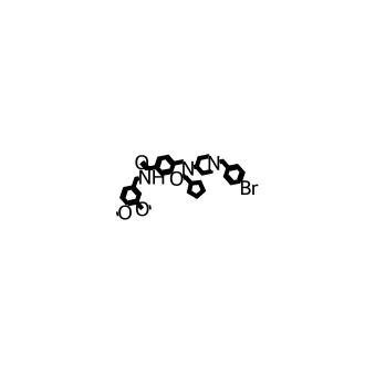 COc1ccc(CNC(=O)c2ccc(CN(C(=O)C3CCCC3)C3CCN(Cc4ccc(Br)cc4)CC3)cc2)cc1OC